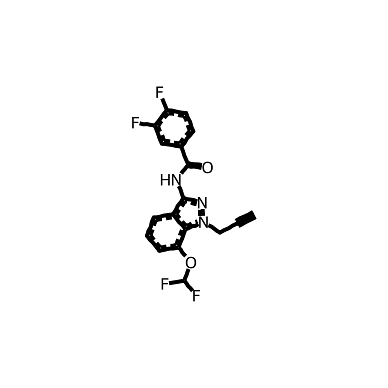 C#CCn1nc(NC(=O)c2ccc(F)c(F)c2)c2cccc(OC(F)F)c21